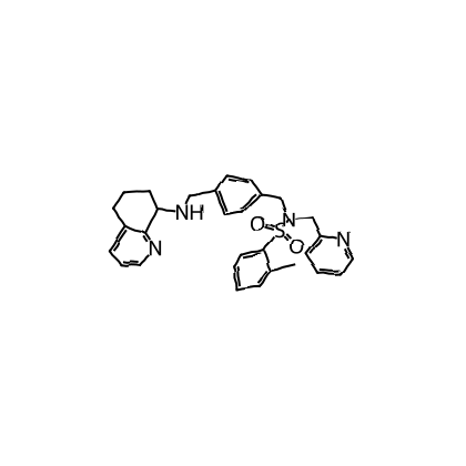 Cc1ccccc1S(=O)(=O)N(Cc1ccc(CNC2CCCc3cccnc32)cc1)Cc1ccccn1